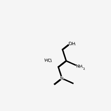 CN(C)CC(N)CO.Cl